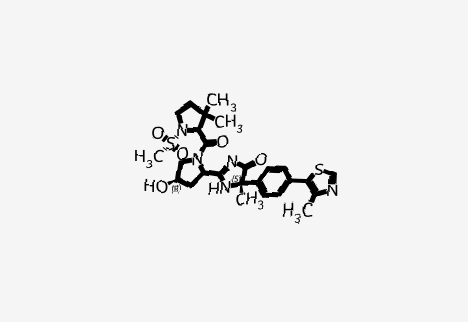 Cc1ncsc1-c1ccc([C@]2(C)NC(C3C[C@@H](O)CN3C(=O)C3N(S(C)(=O)=O)CCC3(C)C)=NC2=O)cc1